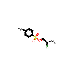 Cc1ccc(S(=O)(=O)OC[C@H](C)Cl)cc1